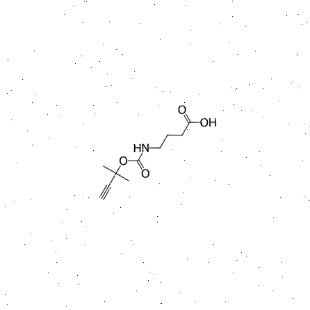 C#CC(C)(C)OC(=O)NCCCC(=O)O